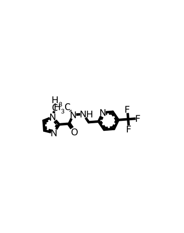 CN(NCc1ccc(C(F)(F)F)cn1)C(=O)c1nccn1C